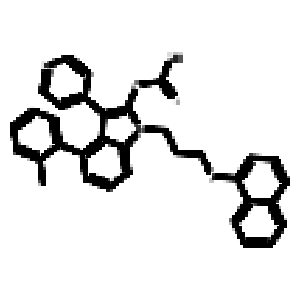 Cc1ccccc1-c1cccc2c1c(-c1ccncc1)c(OC(=O)O)n2CCCOc1cccc2ccccc12